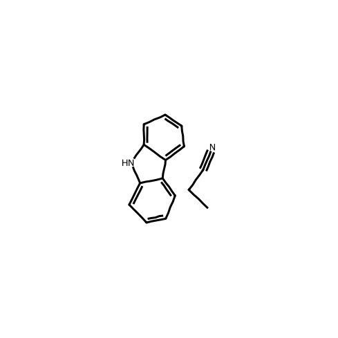 CCC#N.c1ccc2c(c1)[nH]c1ccccc12